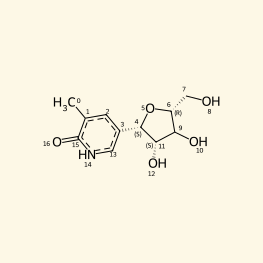 Cc1cc([C@@H]2O[C@H](CO)C(O)[C@@H]2O)c[nH]c1=O